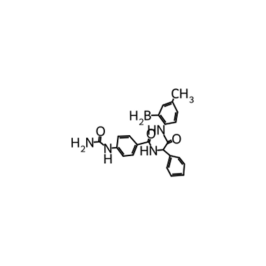 Bc1cc(C)ccc1NC(=O)C(NC(=O)c1ccc(NC(N)=O)cc1)c1ccccc1